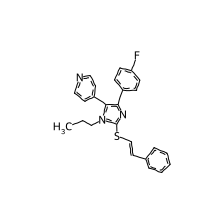 CCCn1c(SC=Cc2ccccc2)nc(-c2ccc(F)cc2)c1-c1ccncc1